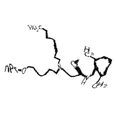 CCCOCCCCN(CCCCCC(=O)O)CC(=O)Nc1c(C)cccc1C